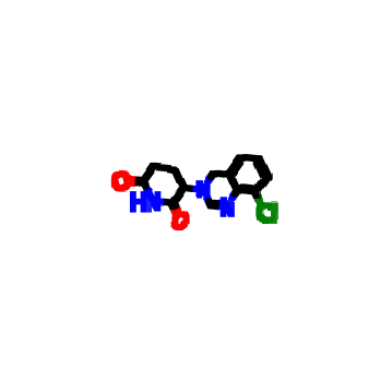 O=C1CCC(N2C=Nc3c(Cl)cccc3C2)C(=O)N1